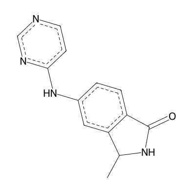 CC1NC(=O)c2ccc(Nc3ccncn3)cc21